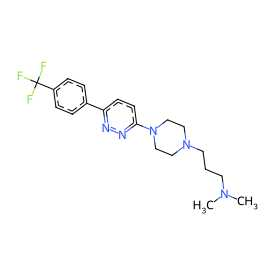 CN(C)CCCN1CCN(c2ccc(-c3ccc(C(F)(F)F)cc3)nn2)CC1